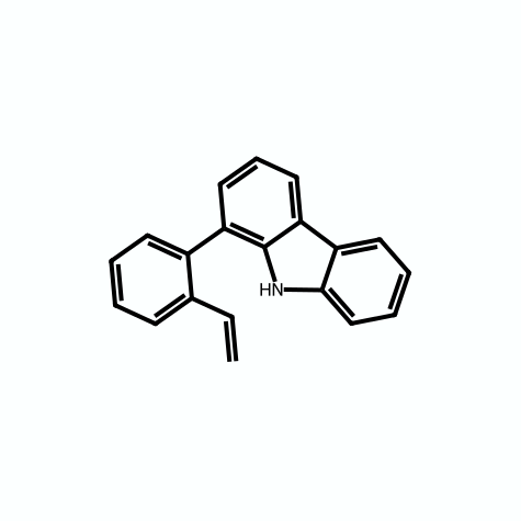 C=Cc1ccccc1-c1cccc2c1[nH]c1ccccc12